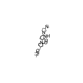 CN(C)C1CCN(c2ccc(-n3ccc(CO[Si](C)(C)C(C)(C)C)cc3=O)c(=O)[nH]2)C1